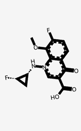 COc1c(F)ccc2c(=O)c(C(=O)O)cn(N[C@@H]3C[C@@H]3F)c12